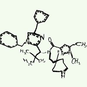 Cc1cc(C(=O)N(CC2(F)CCNC2)[C@@H](c2nc(-c3ccccc3)cn2Cc2ccccc2)C(C)(C)C)nn1C